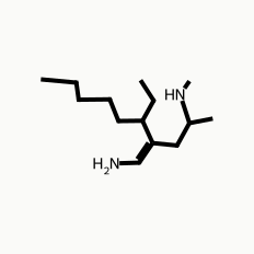 CCCCCC(CC)/C(=C\N)CC(C)NC